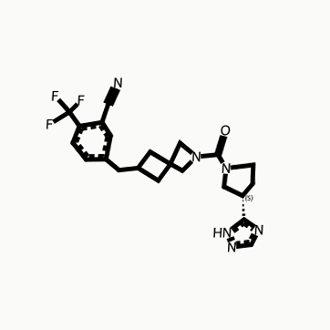 N#Cc1cc(CC2CC3(C2)CN(C(=O)N2CC[C@H](c4ncn[nH]4)C2)C3)ccc1C(F)(F)F